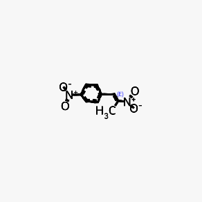 C/C(=C\c1ccc([N+](=O)[O-])cc1)[N+](=O)[O-]